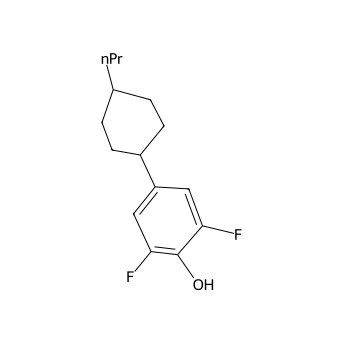 CCCC1CCC(c2cc(F)c(O)c(F)c2)CC1